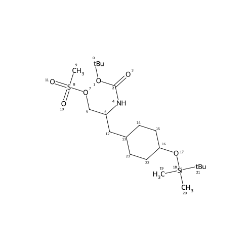 CC(C)(C)OC(=O)NC(COS(C)(=O)=O)CC1CCC(O[Si](C)(C)C(C)(C)C)CC1